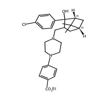 CCOC(=O)c1ccc(N2CCN(CC3C[C@H]4C[C@@H](C3(O)c3ccc(Cl)cc3)C4(C)C)CC2)cc1